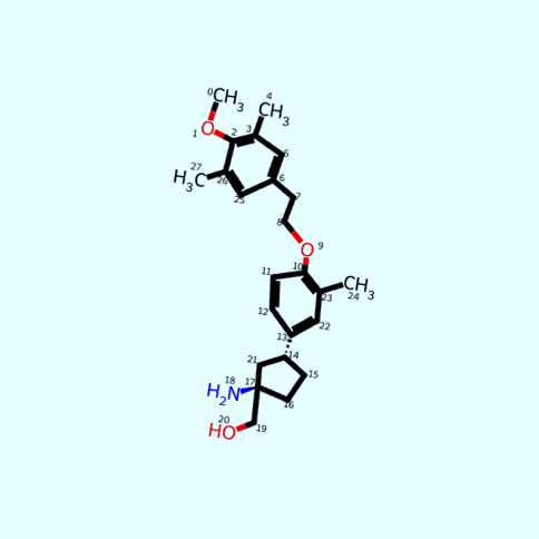 COc1c(C)cc(CCOc2ccc([C@@H]3CC[C@](N)(CO)C3)cc2C)cc1C